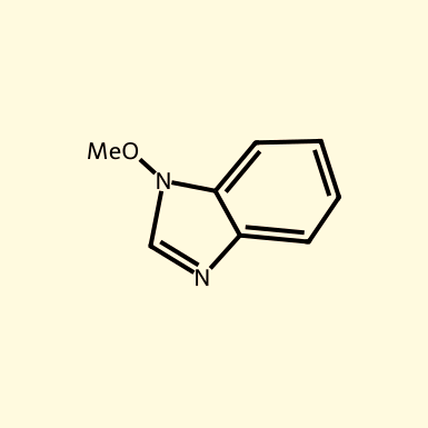 [CH2]On1cnc2ccccc21